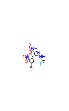 CCONC(=O)c1cnc(NCC2CC2(F)F)cc1Nc1ccc(C2CC2)cc1N(C)S(C)(=O)=O